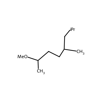 COC(C)CCC(C)CC(C)C